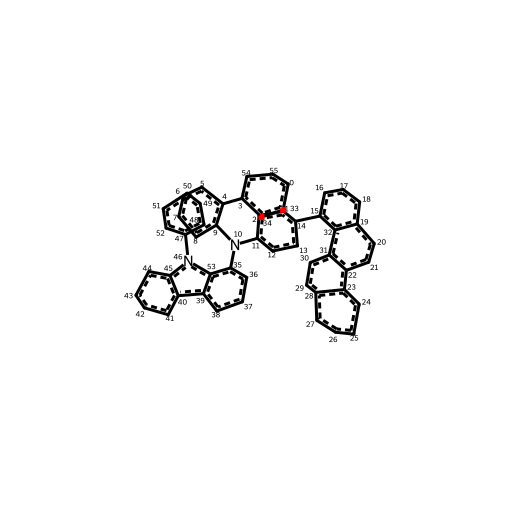 c1ccc(-c2ccccc2N(c2ccc(-c3cccc4ccc5c6ccccc6ccc5c34)cc2)c2cccc3c4ccccc4n(-c4ccccc4)c23)cc1